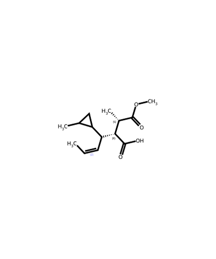 C/C=C\C(C1CC1C)[C@@H](C(=O)O)[C@H](C)C(=O)OC